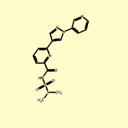 CN(C)S(=O)(=O)NC(=O)c1cccc(-c2cnn(-c3cccnc3)c2)n1